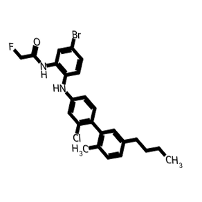 CCCCc1ccc(C)c(-c2ccc(Nc3ccc(Br)cc3NC(=O)CF)cc2Cl)c1